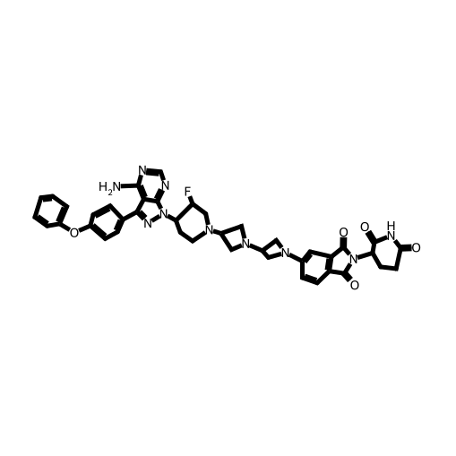 Nc1ncnc2c1c(-c1ccc(Oc3ccccc3)cc1)nn2C1CCN(C2CN(C3CN(c4ccc5c(c4)C(=O)N(C4CCC(=O)NC4=O)C5=O)C3)C2)CC1F